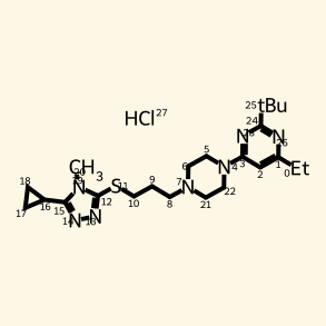 CCc1cc(N2CCN(CCCSc3nnc(C4CC4)n3C)CC2)nc(C(C)(C)C)n1.Cl